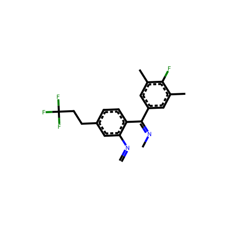 C=Nc1cc(CCC(F)(F)F)ccc1/C(=N\C)c1cc(C)c(F)c(C)c1